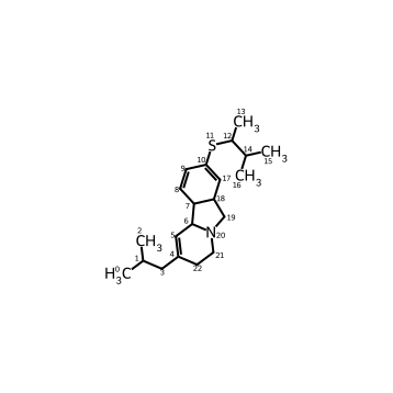 CC(C)CC1=CC2C3C=CC(SC(C)C(C)C)=CC3CN2CC1